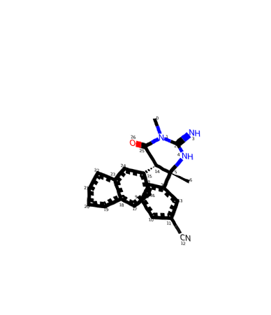 CN1C(=N)N[C@](C)(c2cccc(C#N)c2)[C@H](c2ccc3ccccc3c2)C1=O